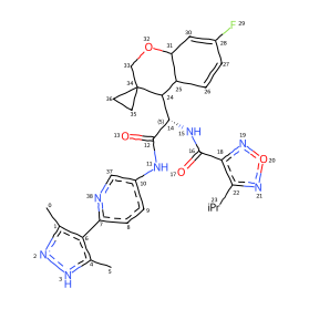 Cc1n[nH]c(C)c1-c1ccc(NC(=O)[C@@H](NC(=O)c2nonc2C(C)C)C2C3C=CC(F)=CC3OCC23CC3)cn1